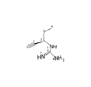 C#C[C@@H](CC)NC(=N)N